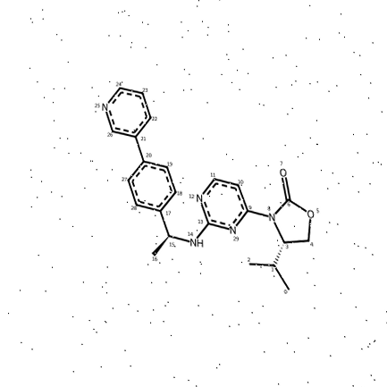 CC(C)[C@H]1COC(=O)N1c1ccnc(N[C@@H](C)c2ccc(-c3cccnc3)cc2)n1